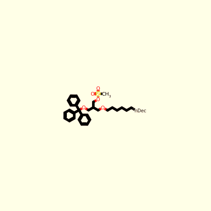 CCCCCCCCCCCCCCCCOCC(COC(c1ccccc1)(c1ccccc1)c1ccccc1)COS(C)(=O)=O